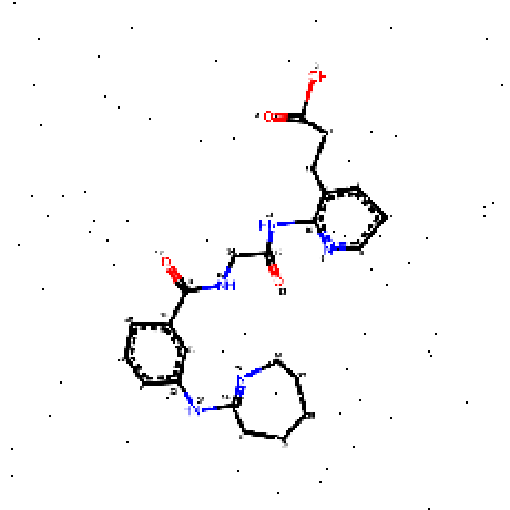 O=C(O)CCc1cccnc1NC(=O)CNC(=O)c1cccc(NC2=NCCCCC2)c1